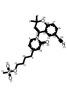 CC1(C)C=C(n2ccc(CCCCOS(C)(=O)=O)cc2=O)c2cc(C#N)ccc2O1